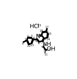 Cc1ccc(-c2cc(NC[C@H](C)O)c3ccc(C)cc3n2)cc1.Cl